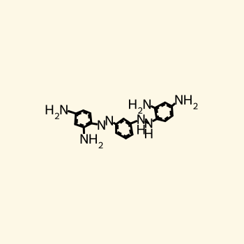 Nc1ccc(/N=N/c2cccc(NNc3ccc(N)cc3N)c2)c(N)c1